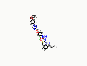 CCS/C(=N\C(=O)Nc1ccc(OCc2ncn(-c3ccc(OC(F)(F)F)cc3)n2)cc1Cl)Nc1cc(C)ccc1COC